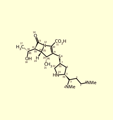 CNCCC(NC)[C@@H]1C[C@H](SC2=C(C(=O)O)N3C(=O)[C@H]([C@@H](C)O)[C@H]3[C@H]2C)CN1